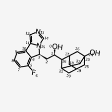 O[C@H](C[C@H]1c2c(F)cccc2-c2cncn21)C1C2CC3CC1CC(O)(C3)C2